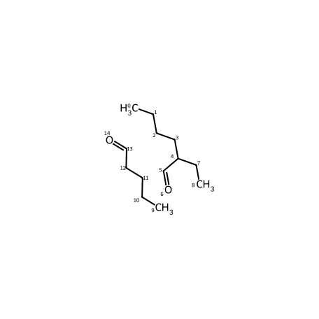 CCCCC(C=O)CC.CCCCC=O